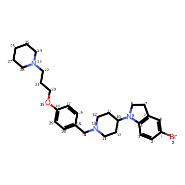 Brc1ccc2c(c1)CCN2C1CCN(Cc2ccc(OCCCN3CCCCC3)cc2)CC1